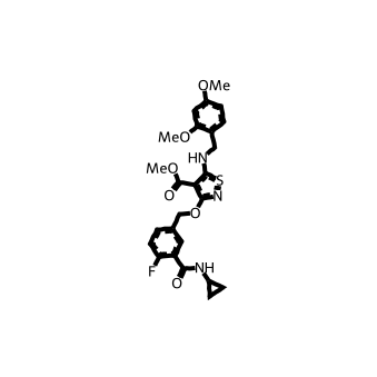 COC(=O)c1c(OCc2ccc(F)c(C(=O)NC3CC3)c2)nsc1NCc1ccc(OC)cc1OC